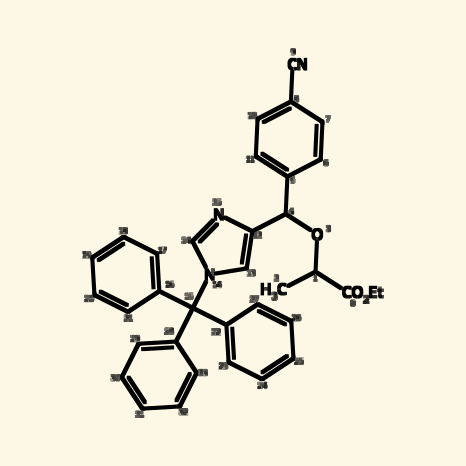 CCOC(=O)C(C)OC(c1ccc(C#N)cc1)c1cn(C(c2ccccc2)(c2ccccc2)c2ccccc2)cn1